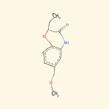 CCC1Oc2ccc(COC)cc2NC1=O